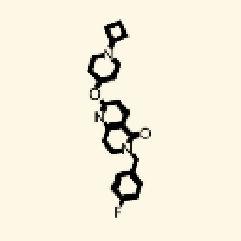 O=C1c2ccc(OC3CCN(C4CCC4)CC3)nc2CCN1Cc1ccc(F)cc1